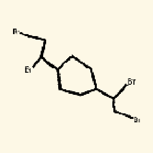 BrCC(Br)C1[CH]CC(C(Br)CBr)[CH]C1